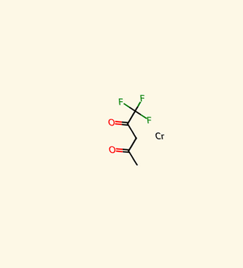 CC(=O)CC(=O)C(F)(F)F.[Cr]